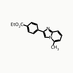 CCOC(=O)c1ccc(-c2cn3c(C)cccc3n2)cc1